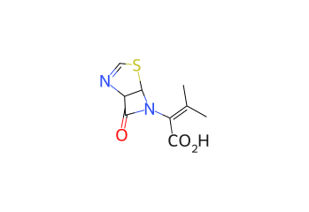 CC(C)=C(C(=O)O)N1C(=O)C2N=CSC21